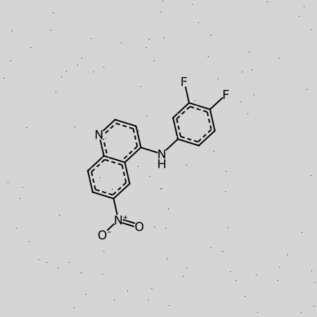 O=[N+]([O-])c1ccc2nccc(Nc3ccc(F)c(F)c3)c2c1